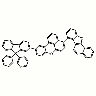 c1ccc(C2(c3ccccc3)c3ccccc3-c3ccc(-c4ccc5c(c4)-c4cccc6c(-c7cccc8oc9c%10ccccc%10ccc9c78)ccc(c46)O5)cc32)cc1